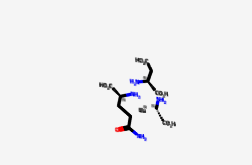 CC[C@H](C)[C@H](N)C(=O)O.NC(=O)CC[C@H](N)C(=O)O.N[C@@H](CC(=O)O)C(=O)O